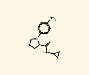 O=C(NC1CC1)C1CCCN1c1ccc([N+](=O)[O-])cc1